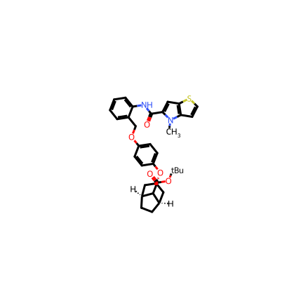 Cn1c(C(=O)Nc2ccccc2COc2ccc(O[C@@H]3C[C@H]4CC[C@@H](C3)C4C(=O)OC(C)(C)C)cc2)cc2sccc21